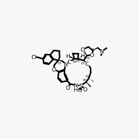 C[C@@H]1[C@@H](C)CCC[C@H]([C@H]2OC[C@@H](CN(C)C)O2)[C@@H]2CC[C@H]2CN2C[C@@]3(CCCc4cc(Cl)ccc43)COc3ccc(cc32)C(=O)NS1(=O)=O